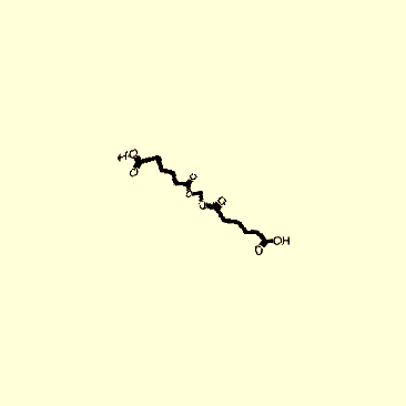 O=C(O)CCCCC(=O)OCOC(=O)CCCCC(=O)O